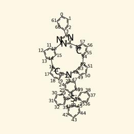 c1ccc(-c2nc3nc(n2)-c2cccc(c2)-c2cccc(c2)N(c2ccc([Si](c4ccccc4)(c4ccccc4)c4ccccc4)cc2)c2cccc(c2)-c2cccc-3c2)cc1